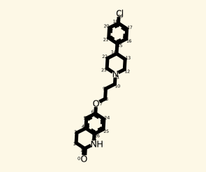 O=C1CCc2cc(OCCCN3CCC(c4ccc(Cl)cc4)CC3)ccc2N1